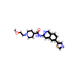 COCCN1CCC(C(=O)Nc2cc3cc(-c4cncs4)ccc3cn2)CC1